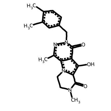 Cc1ccc(Cn2nc(C)c3c(c(O)c4n3CCN(C)C4=O)c2=O)cc1C